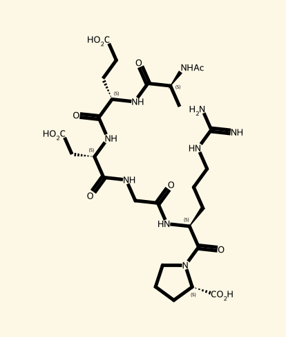 CC(=O)N[C@@H](C)C(=O)N[C@@H](CCC(=O)O)C(=O)N[C@@H](CC(=O)O)C(=O)NCC(=O)N[C@@H](CCCNC(=N)N)C(=O)N1CCC[C@H]1C(=O)O